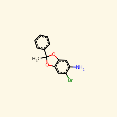 CC1(c2ccccc2)Oc2cc(N)c(Br)cc2O1